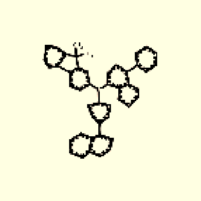 CC1(C)c2ccccc2-c2ccc(N(c3ccc(-c4cccc5ccccc45)cc3)c3ccc(-c4ccccc4)c4ccccc34)cc21